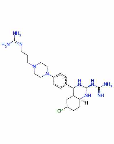 N=C(N)N[C@@H]1NC(c2ccc(N3CCN(CCCN=C(N)N)CC3)cc2)C2CC(Cl)CC[C@@H]2N1